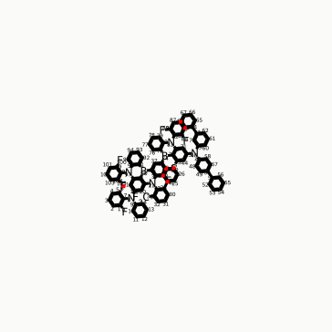 Fc1cccc(F)c1N(c1ccccc1)c1cc2c3c(c1)N(c1c(-c4ccccc4)cccc1C(F)(F)F)c1c(cc4c(c1F)Sc1cc(N(c5ccc(-c6ccccc6)cc5)c5cccc(-c6ccccc6)c5)cc5c1B4c1ccccc1N5c1c(F)cccc1F)B3c1ccccc1N2c1c(F)cccc1F